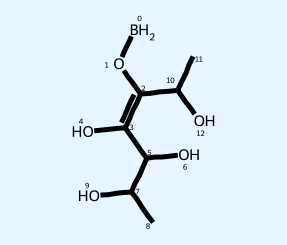 BO/C(=C(\O)C(O)C(C)O)C(C)O